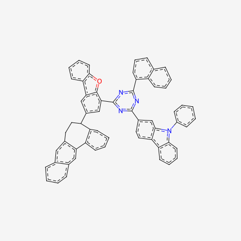 c1ccc(-n2c3ccccc3c3ccc(-c4nc(-c5cccc6ccccc56)nc(-c5cc(C6CCc7cc8ccccc8cc7-c7ccccc76)cc6c5oc5ccccc56)n4)cc32)cc1